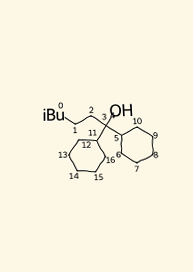 CCC(C)CCC(O)(C1CCCCC1)C1CCCCC1